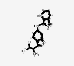 CC(F)C(C)c1noc2cc(Nc3n[nH]c4cccnc34)ccc12